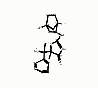 CC1(C(C)(O)c2cccnc2)SC(N[C@H]2C[C@@H]3CC[C@H]2C3)=NC1=O